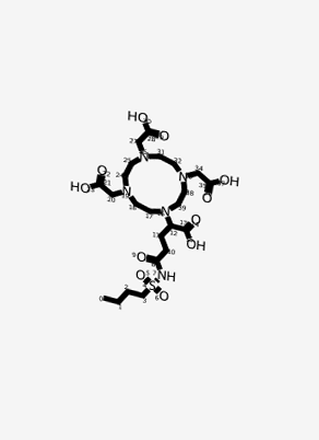 CCCCS(=O)(=O)NC(=O)CCC(C(=O)O)N1CCN(CC(=O)O)CCN(CC(=O)O)CCN(CC(=O)O)CC1